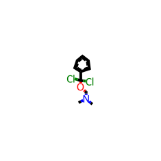 CN(C)COC(Cl)(Cl)c1ccccc1